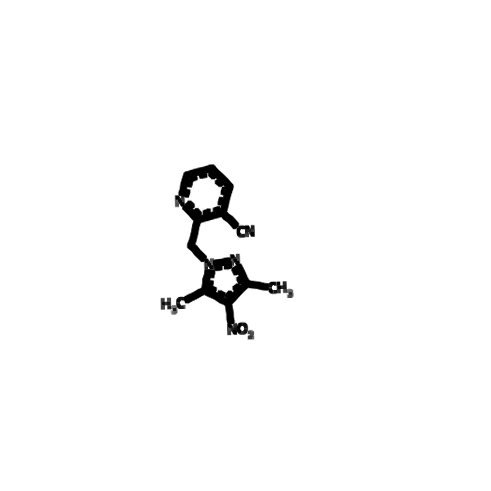 Cc1nn(Cc2ncccc2C#N)c(C)c1[N+](=O)[O-]